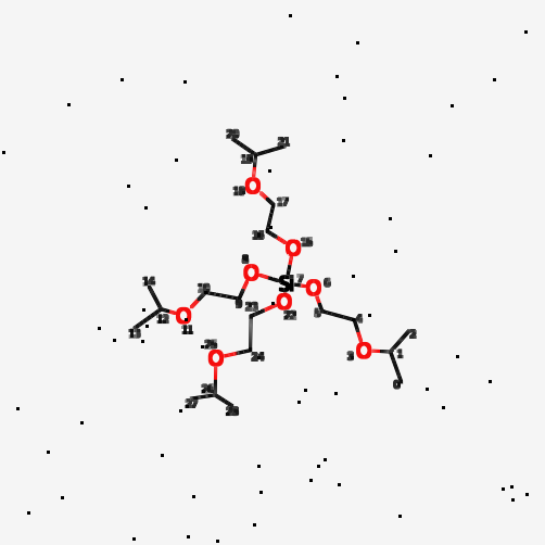 CC(C)OCCO[Si](OCCOC(C)C)(OCCOC(C)C)OCCOC(C)C